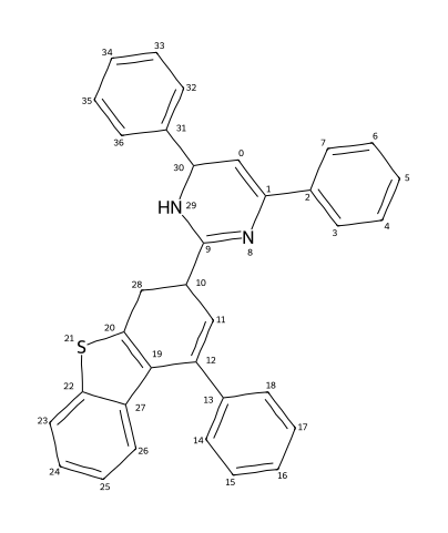 C1=C(c2ccccc2)N=C(C2C=C(c3ccccc3)c3c(sc4ccccc34)C2)NC1c1ccccc1